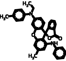 CCN(c1ccc(C)cc1)c1ccc2c(c1)Oc1cc(C)cc(Nc3ccccc3)c1C21OC(=O)c2ccccc21